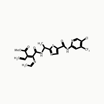 C=C/C(C(=O)OC)=C(\N=C/C)C(=O)NC(C)c1ncc(C(=O)Nc2cc(C(F)(F)F)c(Cl)cn2)s1